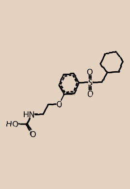 O=C(O)NCCOc1cccc(S(=O)(=O)CC2CCCCC2)c1